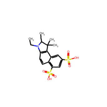 CCN1c2ccc3c(S(=O)(=O)O)cc(S(=O)(=O)O)cc3c2C(C)(C)C1C